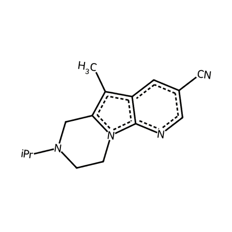 Cc1c2n(c3ncc(C#N)cc13)CCN(C(C)C)C2